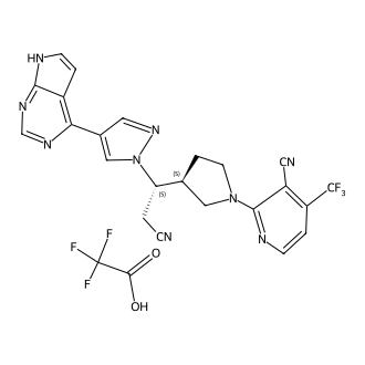 N#CC[C@@H]([C@H]1CCN(c2nccc(C(F)(F)F)c2C#N)C1)n1cc(-c2ncnc3[nH]ccc23)cn1.O=C(O)C(F)(F)F